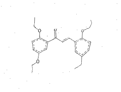 CCOc1ccc(OCC)c(C(=O)C=Cc2cc(CC)ccc2OCC)c1